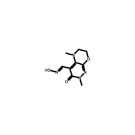 CN1CCOc2nn(C)c(=O)c(C=NO)c21